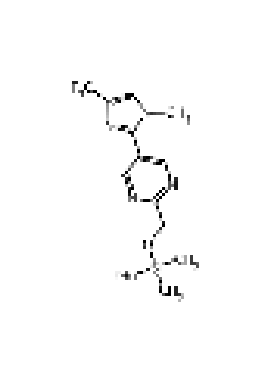 Cn1cc(C(F)(F)F)nc1-c1cnc(CO[Si](C)(C)C(C)(C)C)nc1